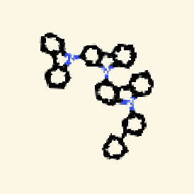 c1ccc(-c2cccc(-n3c4ccccc4c4c(-n5c6ccccc6c6ccc(-n7c8ccccc8c8ccccc87)cc65)cccc43)c2)cc1